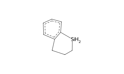 c1ccc2c(c1)CCC[SiH2]2